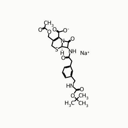 CC(=O)OCC1=C(C(=O)[O-])N2C(=O)[C@@H](NC(=O)Cc3cccc(CNC(=O)OC(C)(C)C)c3)[C@H]2SC1.[Na+]